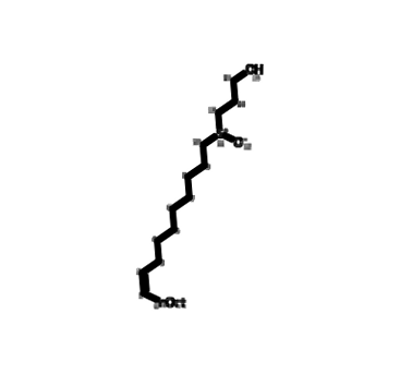 CCCCCCCC/C=C\CCCCCCCC[S+]([O-])CCCO